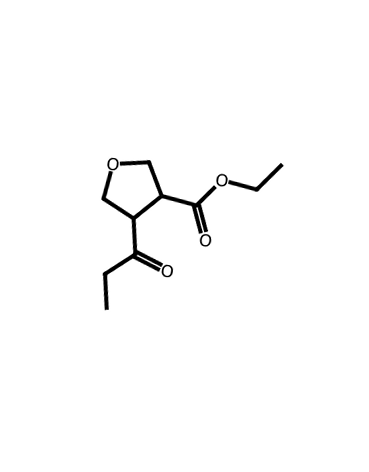 CCOC(=O)C1COCC1C(=O)CC